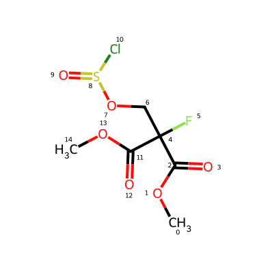 COC(=O)C(F)(COS(=O)Cl)C(=O)OC